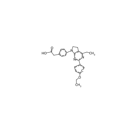 CCOc1ccc(-c2nc(CC)c3c(n2)N(c2ccc(CC(=O)O)cc2)CC3)cc1